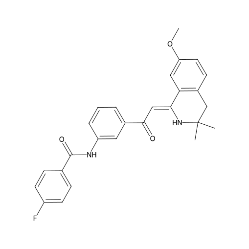 COc1ccc2c(c1)C(=CC(=O)c1cccc(NC(=O)c3ccc(F)cc3)c1)NC(C)(C)C2